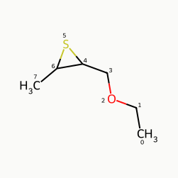 CCOCC1SC1C